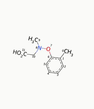 Cc1ccccc1ON(C)CC(=O)O